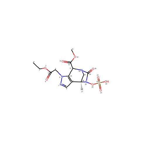 CCOC(=O)Cn1ncc2c1C(C(=O)OC)N1C[C@H]2N(OS(=O)(=O)O)C1=O